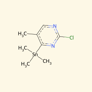 Cc1cnc(Cl)n[c]1[Sn]([CH3])([CH3])[CH3]